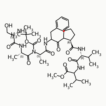 COC(=O)C(NC(=O)[C@H](NC(=O)[C@@H]1CCCC1C(=O)C(Cc1ccccc1)NC(=O)[C@H](C)N(C(=O)OC(C)(C)C)C(=O)[C@H](C)NC(=O)[C@@H](N)CO)C(C)C)C(C)C